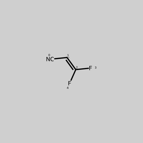 N#C[C]=C(F)F